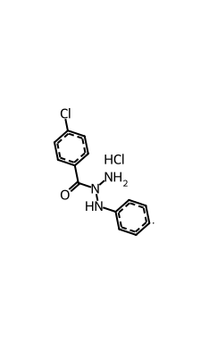 Cl.NN(Nc1cc[c]cc1)C(=O)c1ccc(Cl)cc1